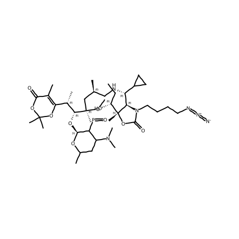 CC[C@@H](O)[C@@]1(C)OC(=O)N(CCCCN=[N+]=[N-])[C@@H]1[C@H](NC[C@H](C)C[C@@](C)(OC)[C@H](O[C@@H]1OC(C)CC(N(C)C)C1P=O)[C@@H](C)C1=C(C)C(=O)OC(C)(C)O1)C1CC1